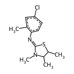 Cc1cc(Cl)ccc1N=C1SC(C)C(C)N1C